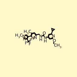 CCOc1cc(NC(=O)NCc2cc(C)c(-c3cn(C)nc3C(F)(F)F)nn2)cc(C2CC2)n1